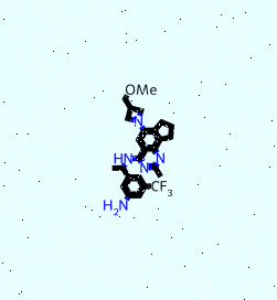 COCC1CN(c2cc3c(NC(C)c4cc(N)cc(C(F)(F)F)c4)nc(C)nc3c3c2CCC3)C1